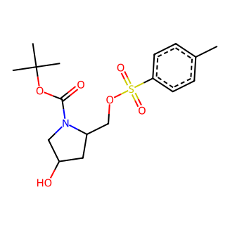 Cc1ccc(S(=O)(=O)OCC2CC(O)CN2C(=O)OC(C)(C)C)cc1